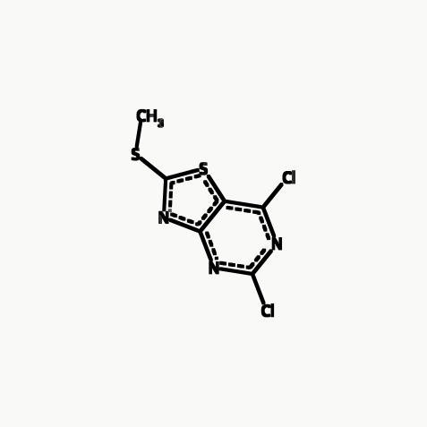 CSc1nc2nc(Cl)nc(Cl)c2s1